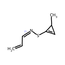 C=C/C=N\SC1=CC1C